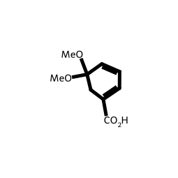 COC1(OC)C=CC=C(C(=O)O)C1